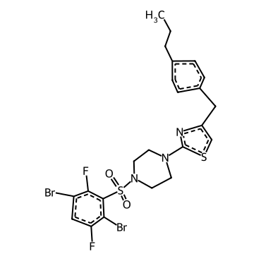 CCCc1ccc(Cc2csc(N3CCN(S(=O)(=O)c4c(F)c(Br)cc(F)c4Br)CC3)n2)cc1